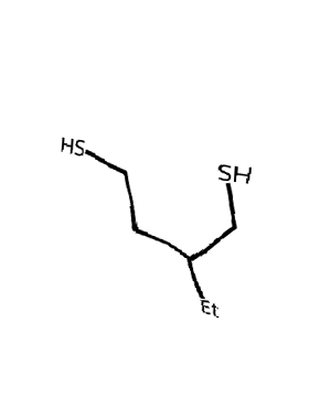 CCC(CS)CCS